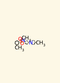 CC1=CCN(C2C=CC(N(C)S(=O)(=O)c3cccc(C)c3)C2)CC1